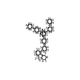 CC1(C)c2ccccc2-c2c(-c3cccc(-c4ccc(-c5cc(-c6cccc(-c7ccccc7)c6)nc(-c6ccc(-c7ccccc7)cc6)n5)cc4)c3)cccc21